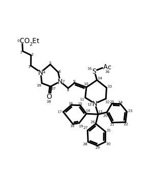 CCOC(=O)CCCN1CCN(CC=C2CN(C(c3ccccc3)(c3ccccc3)c3ccccc3)CCC2SC(C)=O)C(=O)C1